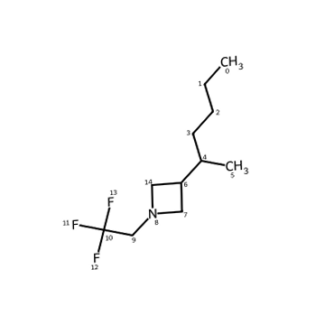 CCCCC(C)C1CN(CC(F)(F)F)C1